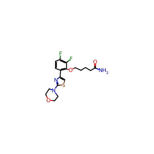 NC(=O)CCCCOc1c(-c2csc(N3CCOCC3)n2)ccc(F)c1F